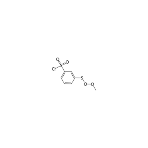 COOSc1cccc(S(=O)(=O)Cl)c1